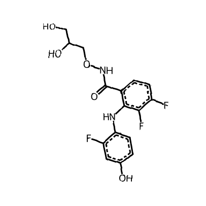 O=C(NOCC(O)CO)c1ccc(F)c(F)c1Nc1ccc(O)cc1F